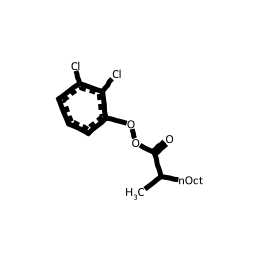 CCCCCCCCC(C)C(=O)OOc1cccc(Cl)c1Cl